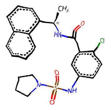 C[C@@H](NC(=O)c1cc(NS(=O)(=O)N2CCCC2)ccc1Cl)c1cccc2ccccc12